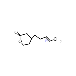 C/C=C/CCC1CCOC(=O)C1